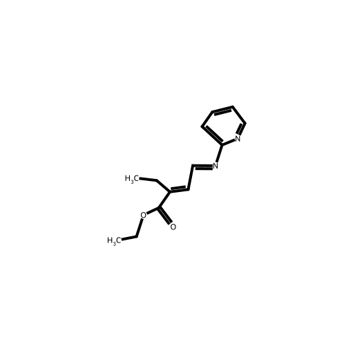 CCOC(=O)/C(=C/C=N/c1ccccn1)CC